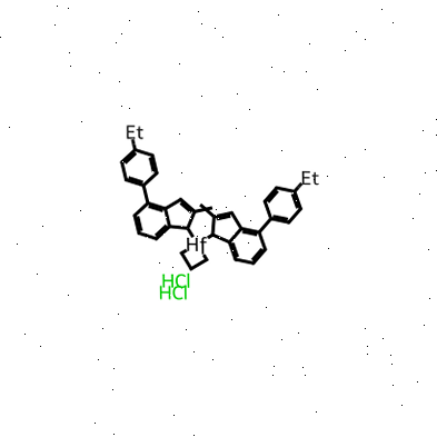 CCc1ccc(-c2cccc3c2C=C(C)[CH]3[Hf]2([CH]3C(C)=Cc4c(-c5ccc(CC)cc5)cccc43)[CH2]C[CH2]2)cc1.Cl.Cl